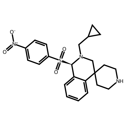 O=[N+]([O-])c1ccc(S(=O)(=O)[C@@H]2c3ccccc3C3(CCNCC3)CN2CC2CC2)cc1